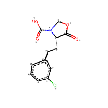 O=C1OCN(C(=O)O)[C@H]1CCc1cccc(Cl)c1